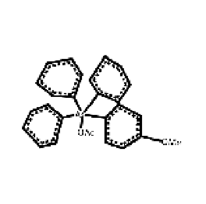 COc1ccc([As](OC(C)=O)(c2ccccc2)(c2ccccc2)c2ccccc2)cc1